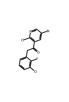 O=C(Cc1cccc(Cl)c1F)c1cc(Br)cnc1Cl